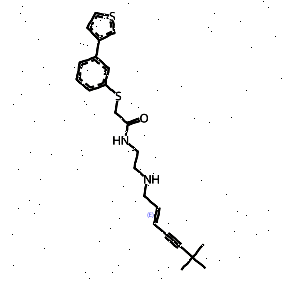 CC(C)(C)C#C/C=C/CNCCNC(=O)CSc1cccc(-c2ccsc2)c1